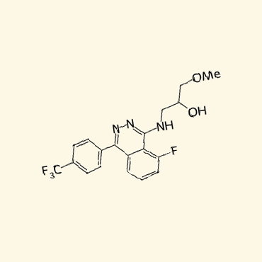 COCC(O)CNc1nnc(-c2ccc(C(F)(F)F)cc2)c2cccc(F)c12